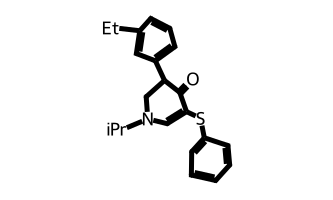 CCc1cccc(C2CN(C(C)C)C=C(Sc3ccccc3)C2=O)c1